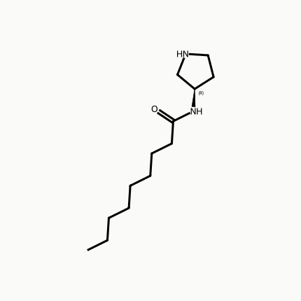 CCCCCCCCC(=O)N[C@@H]1CCNC1